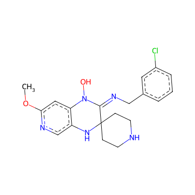 COc1cc2c(cn1)NC1(CCNCC1)/C(=N\Cc1cccc(Cl)c1)N2O